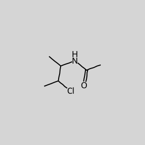 CC(=O)NC(C)C(C)Cl